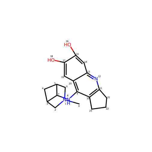 CN1CC2CC(C1)C2Nc1c2c(nc3cc(O)c(O)cc13)CCC2